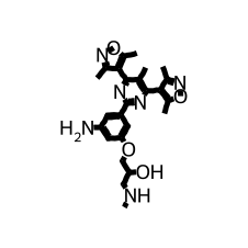 CNCC(O)COc1cc(N)cc(-c2nc(-c3c(C)noc3C)c(C)c(-c3c(C)noc3C)n2)c1